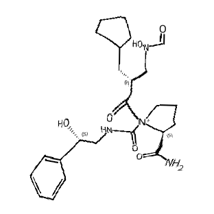 NC(=O)[C@@H]1CCC[N+]1(C(=O)NC[C@@H](O)c1ccccc1)C(=O)[C@H](CC1CCCC1)CN(O)C=O